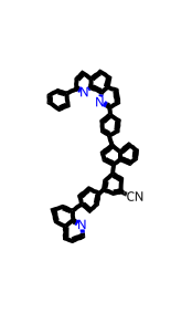 N#Cc1cc(-c2ccc(-c3cccc4cccnc34)cc2)cc(-c2ccc(-c3ccc(-c4ccc5ccc6ccc(-c7ccccc7)nc6c5n4)cc3)c3ccccc23)c1